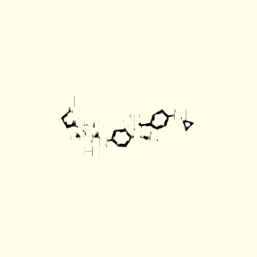 O=C(Nc1ccc(-n2cnc3cc(NC4CC4)ccc3c2=O)c(Cl)c1)NS(=O)(=O)c1ccc(Cl)s1